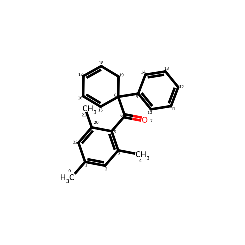 Cc1cc(C)c(C(=O)C2(c3ccccc3)C=CC=CC2)c(C)c1